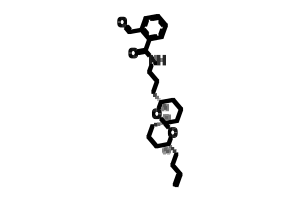 C=CCC[C@@H]1CCC[C@]2(CCC[C@@H](CCCNC(=O)c3ccccc3C=O)O2)O1